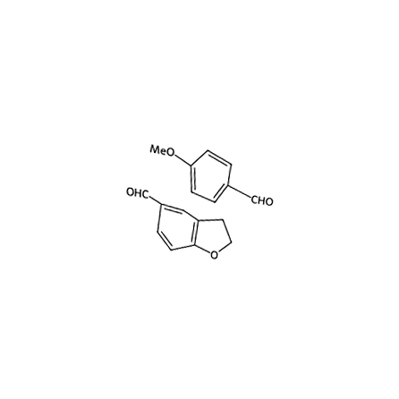 COc1ccc(C=O)cc1.O=Cc1ccc2c(c1)CCO2